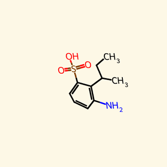 CCC(C)c1c(N)cccc1S(=O)(=O)O